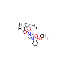 COC(=O)c1ccccc1N1CCN(C(=O)OC(C)(C)C)CC1